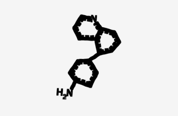 Nc1ccc(-c2cccc3ncccc23)cc1